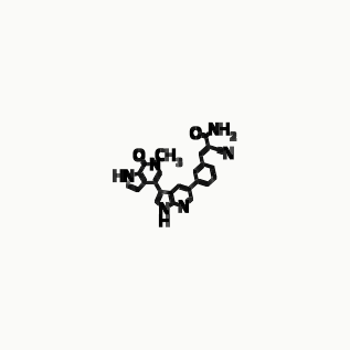 Cn1cc(-c2c[nH]c3ncc(-c4cccc(/C=C(\C#N)C(N)=O)c4)cc23)c2cc[nH]c2c1=O